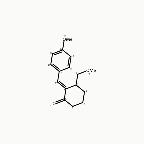 COCC1CCCC(=O)C1=Cc1ccc(OC)cc1